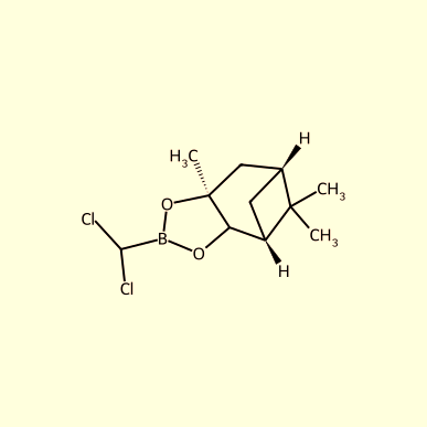 CC1(C)[C@@H]2C[C@H]1C1OB(C(Cl)Cl)O[C@@]1(C)C2